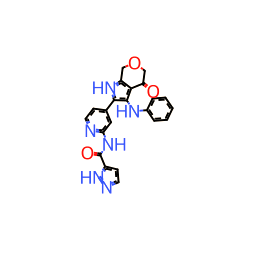 O=C(Nc1cc(-c2[nH]c3c(c2Nc2ccccc2)C(=O)COC3)ccn1)c1ccn[nH]1